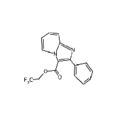 O=C(OCC(F)(F)F)c1c(-c2ccccc2)nc2ccccn12